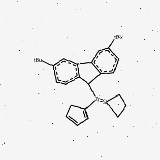 CC(C)(C)c1ccc2c(c1)-c1cc(C(C)(C)C)ccc1[CH]2[Zr]([C]1=CC=CC1)=[Si]1CCC1